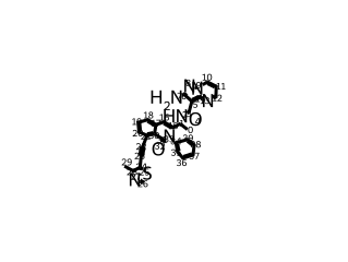 CC(NC(=O)c1c(N)nn2cccnc12)c1cc2cccc(C#CC3SC=NC3C)c2c(=O)n1-c1ccccc1